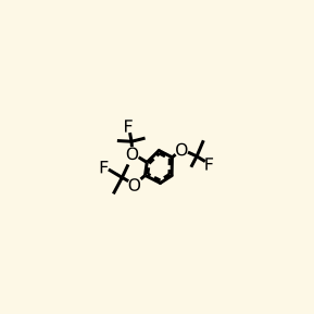 CC(C)(F)Oc1ccc(OC(C)(C)F)c(OC(C)(C)F)c1